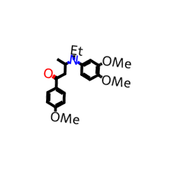 CCN(c1ccc(OC)c(OC)c1)C(C)CC(=O)c1ccc(OC)cc1